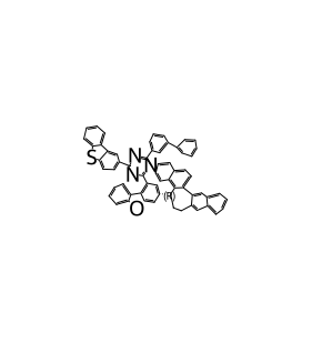 c1ccc(-c2cccc(-c3nc(-c4ccc5sc6ccccc6c5c4)nc(-c4cc([C@H]5CCc6cc7ccccc7cc6-c6ccc7ccccc7c65)cc5oc6ccccc6c45)n3)c2)cc1